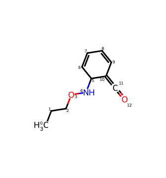 CCCONC1C=CC=CC1=C=O